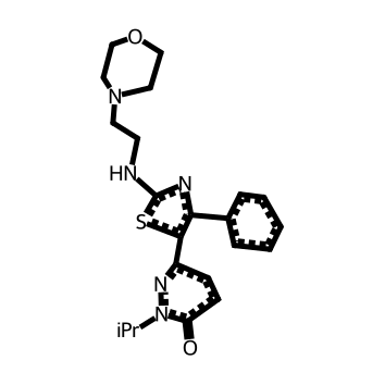 CC(C)n1nc(-c2sc(NCCN3CCOCC3)nc2-c2ccccc2)ccc1=O